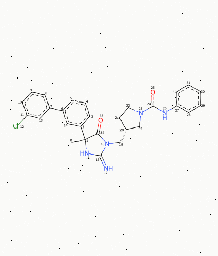 CC1(c2cccc(-c3cccc(Cl)c3)c2)NC(=N)N(C[C@@H]2CCN(C(=O)Nc3ccccc3)C2)C1=O